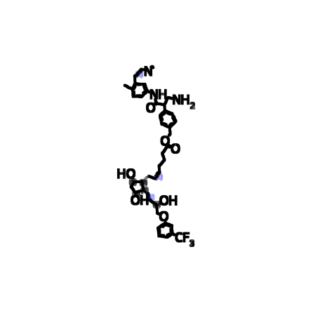 C=N/C=C\c1cc(NC(=O)C(CN)c2ccc(COC(=O)CCC/C=C\C[C@@H]3[C@@H](/C=C/[C@H](O)COc4cccc(C(F)(F)F)c4)[C@H](O)C[C@@H]3O)cc2)ccc1C